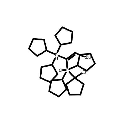 CC(C)(C)C=C([PH](C1CCCC1)(C1CCCC1)C1CCCC1)P(Cl)(C1CCCC1)(C1CCCC1)C1(Cl)CCCC1